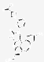 CCc1ccc2c(c1)C=Cc1cc(C)ccc1C2c1cn(-c2ccnc(N3CC(C(=O)O)C3)n2)c(=O)[nH]c1=O